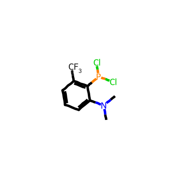 CN(C)c1cccc(C(F)(F)F)c1P(Cl)Cl